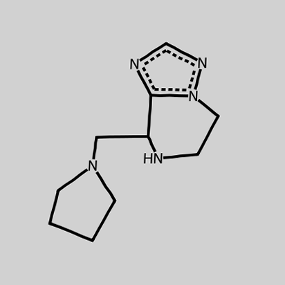 c1nc2n(n1)CCNC2CN1CCCC1